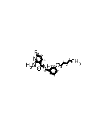 CCCCCOc1cccc(CNC(=O)c2ccc(F)nc2N)c1